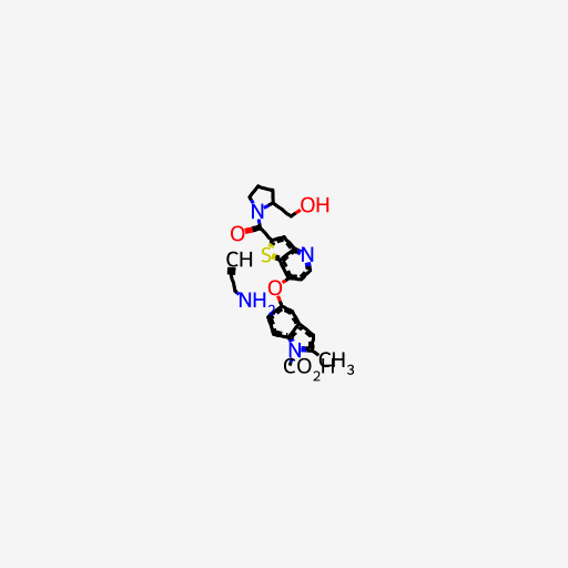 C#CCN.Cc1cc2cc(Oc3ccnc4cc(C(=O)N5CCCC5CO)sc34)ccc2n1C(=O)O